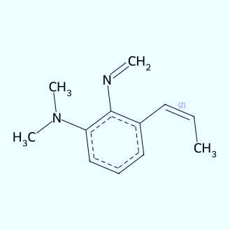 C=Nc1c(/C=C\C)cccc1N(C)C